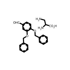 NCC(N)C(=O)O.O=Cc1ccc(OCc2ccccc2)c(OCc2ccccc2)c1